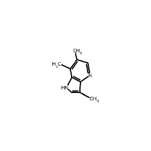 Cc1cnc2c(C)c[nH]c2c1C